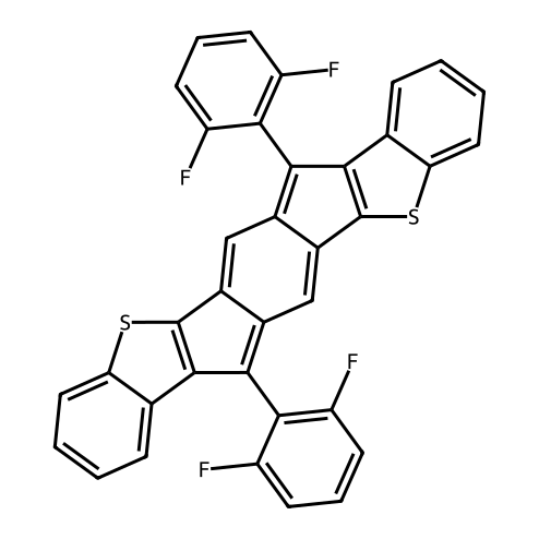 Fc1cccc(F)c1C1=c2cc3c(cc2-c2sc4ccccc4c21)=C(c1c(F)cccc1F)c1c-3sc2ccccc12